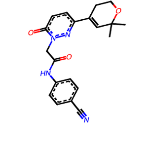 CC1(C)C=C(c2ccc(=O)n(CC(=O)Nc3ccc(C#N)cc3)n2)CCO1